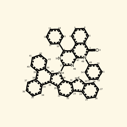 O=c1c2ccccc2c2c(-c3ccccc3)nc(-n3c4c(ccc5c6ccccc6sc54)c4c5ccccc5c5ccccc5c43)nc2n1-c1ccccc1